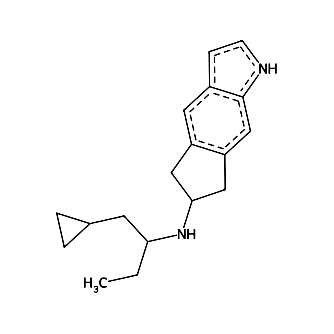 CCC(CC1CC1)NC1Cc2cc3cc[nH]c3cc2C1